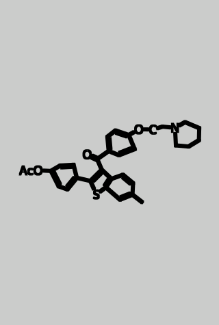 CC(=O)Oc1ccc(-c2sc3cc(C)ccc3c2C(=O)c2ccc(OCCN3CCCCC3)cc2)cc1